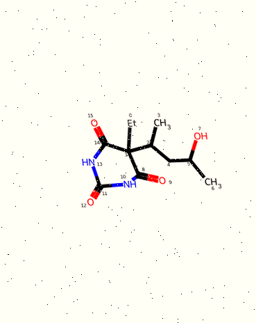 CCC1(C(C)CC(C)O)C(=O)NC(=O)NC1=O